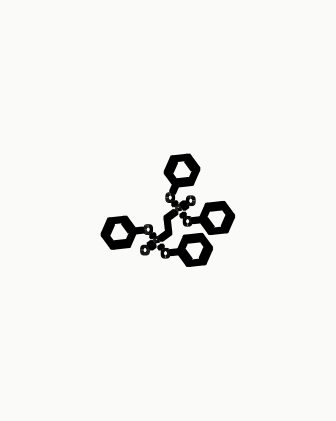 O=P(CCP(=O)(Oc1ccccc1)Oc1ccccc1)(Oc1ccccc1)Oc1ccccc1